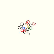 COC(=O)N(Cc1cccc(Cl)c1Sc1ccc(Br)cc1C1OCCO1)C1c2ccccc2-c2ccccc21